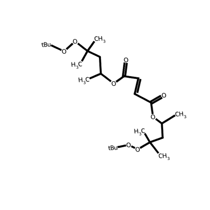 CC(CC(C)(C)OOC(C)(C)C)OC(=O)C=CC(=O)OC(C)CC(C)(C)OOC(C)(C)C